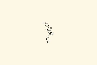 O=C(Nc1ccc(Cl)cc1)C1CC(=O)N(CCc2ccc(Cl)cc2)C1